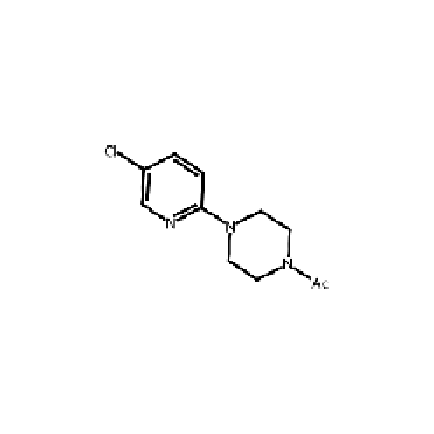 CC(=O)N1CCN(c2ccc(Cl)cn2)CC1